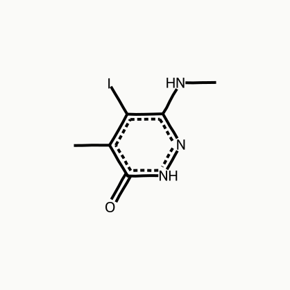 CNc1n[nH]c(=O)c(C)c1I